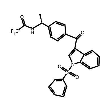 C[C@H](NC(=O)C(F)(F)F)c1ccc(C(=O)c2cn(S(=O)(=O)c3ccccc3)c3ccccc23)cc1